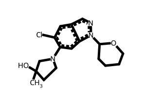 CC1(O)CCN(c2cc3c(cnn3C3CCCCO3)cc2Cl)C1